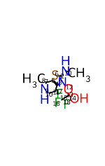 CNc1nc2c(s1)[C@@H](C)NCC2.O=C(O)C(F)(F)F